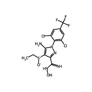 CC[S+]([O-])c1c(C(=N)NO)nn(-c2c(Cl)cc(C(F)(F)F)cc2Cl)c1N